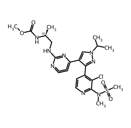 COC(=O)N[C@@H](C)CNC1=NC(c2cn(C(C)C)nc2-c2ccnc(N(C)S(C)(=O)=O)c2Cl)=C=C=N1